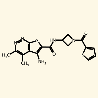 Cc1nnc2sc(C(=O)NC3CN(C(=O)c4cccs4)C3)c(N)c2c1C